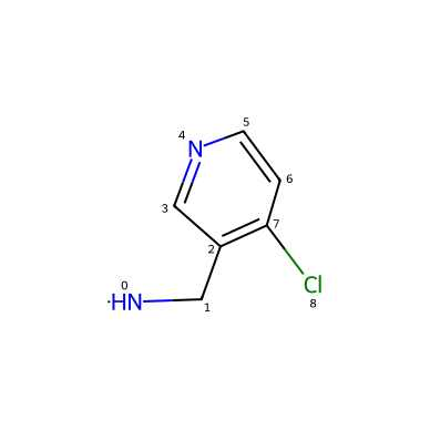 [NH]Cc1cnccc1Cl